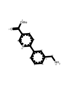 COC(=O)c1ccc(-c2cccc(CN)c2)nc1